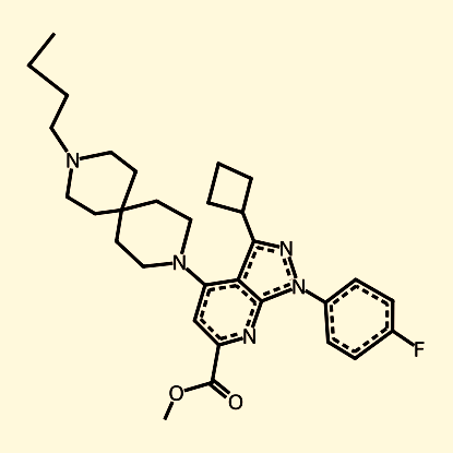 CCCCN1CCC2(CC1)CCN(c1cc(C(=O)OC)nc3c1c(C1CCC1)nn3-c1ccc(F)cc1)CC2